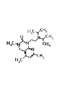 Cc1cc(C)c2c(n1)N(CCN(C(C)C)C(C)C)C(=O)N(C)C2